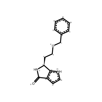 O=C1N[C@@H](CCOCc2ccccc2)c2[nH]ccc21